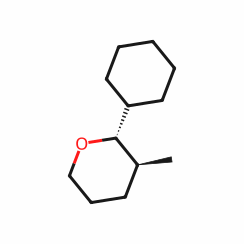 C[C@H]1CCCO[C@@H]1C1CCCCC1